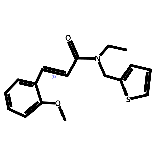 CCN(Cc1cccs1)C(=O)/C=C/c1ccccc1OC